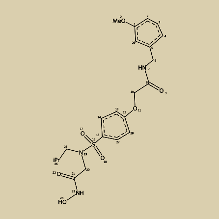 COc1cccc(CNC(=O)COc2ccc(S(=O)(=O)N(CC(=O)NO)CC(C)C)cc2)c1